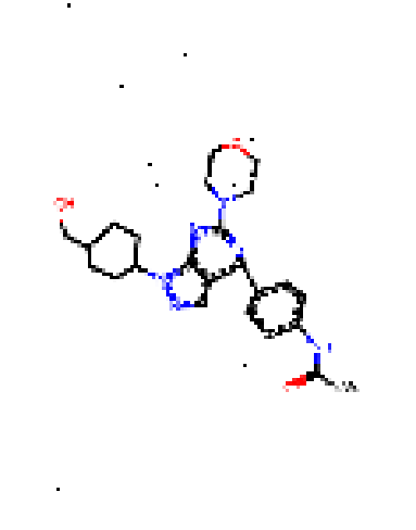 CNC(=O)Nc1ccc(-c2nc(N3CCOCC3)nc3c2cnn3C2CCC(CO)CC2)cc1